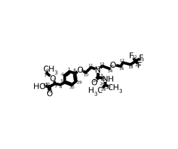 CCOC(Cc1ccc(OCCN(CCOCCCC(F)(F)F)C(=O)NC(C)C)cc1)C(=O)O